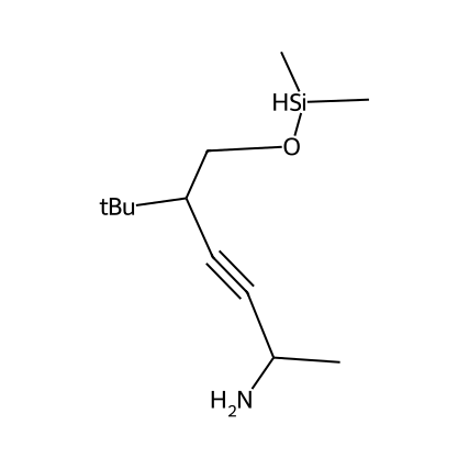 CC(N)C#CC(CO[SiH](C)C)C(C)(C)C